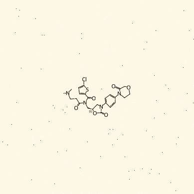 CN(C)CCC(=O)N(C[C@H]1CN(c2ccc(N3CCOCC3=O)cc2)C(=O)O1)C(=O)c1ccc(Cl)s1